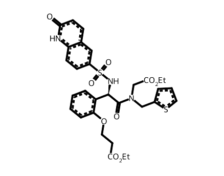 CCOC(=O)CCOc1ccccc1[C@@H](NS(=O)(=O)c1ccc2[nH]c(=O)ccc2c1)C(=O)N(CC(=O)OCC)Cc1cccs1